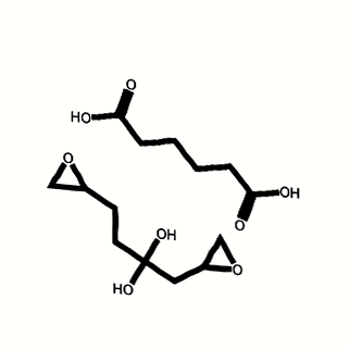 O=C(O)CCCCC(=O)O.OC(O)(CCC1CO1)CC1CO1